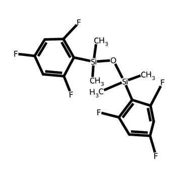 C[Si](C)(O[Si](C)(C)c1c(F)cc(F)cc1F)c1c(F)cc(F)cc1F